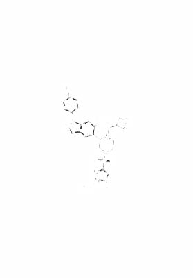 Cc1cc2c(cnn2-c2ccc(F)cc2)cc1C1CN(S(=O)(=O)c2cnn(C)n2)CCN1CC1COC1